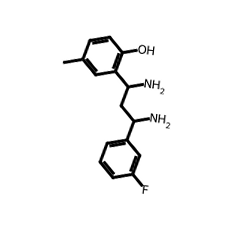 Cc1ccc(O)c(C(N)CC(N)c2cccc(F)c2)c1